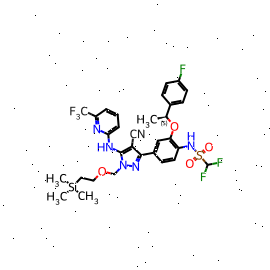 C[C@H](Oc1cc(-c2nn(COCC[Si](C)(C)C)c(Nc3cccc(C(F)(F)F)n3)c2C#N)ccc1NS(=O)(=O)C(F)F)c1ccc(F)cc1